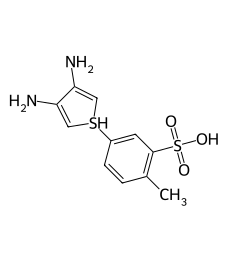 Cc1ccc([SH]2C=C(N)C(N)=C2)cc1S(=O)(=O)O